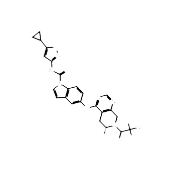 C[C@H]1Cc2c(ncnc2Oc2ccc3c(ccn3C(=O)Nc3cc(C4CC4)on3)c2)CN1C(O)C(C)(C)N